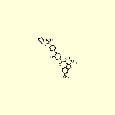 Cc1ccc2c(c1)cc(C)n2C(C)C(=O)N1CCN(c2ccc(S(=O)(=O)Nc3nccs3)cc2)C(=O)C1